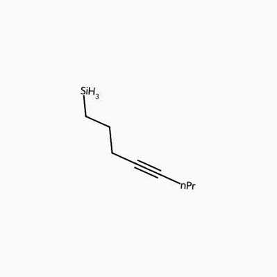 CCCC#CCCC[SiH3]